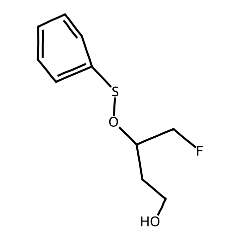 OCCC(CF)OSc1ccccc1